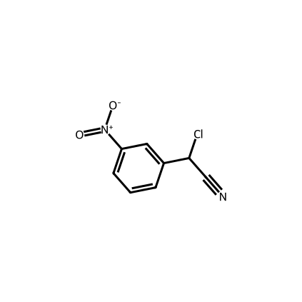 N#CC(Cl)c1cccc([N+](=O)[O-])c1